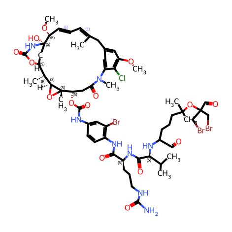 COc1cc2cc(c1Cl)N(C)C(=O)C[C@H](OC(=O)Nc1ccc(NC(=O)[C@H](CCCNC(N)=O)NC(=O)[C@@H](NC(C=O)CCCC(C)(C)OC(C=O)(CBr)CBr)C(C)C)c(Br)c1)[C@]1(C)O[C@H]1[C@H](C)[C@@H]1C[C@@](O)(NC(=O)O1)[C@H](OC)/C=C/C=C(\C)C2